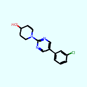 OC1CCN(c2ncc(-c3cccc(Cl)c3)cn2)CC1